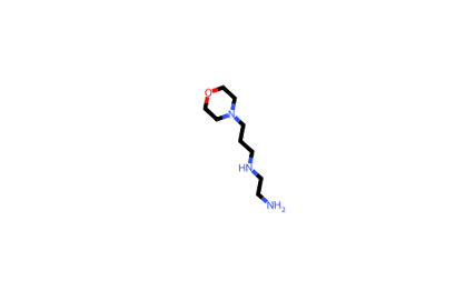 NCCNCCCN1CCOCC1